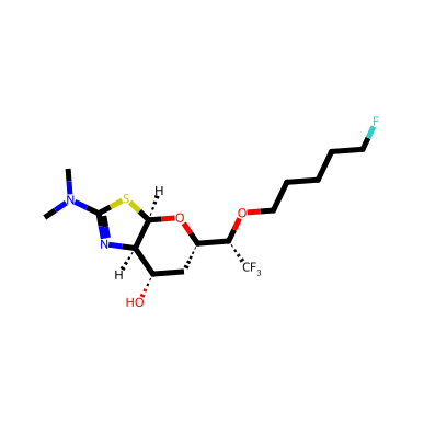 CN(C)C1=N[C@H]2[C@H](O[C@H]([C@H](OCCCCCF)C(F)(F)F)C[C@@H]2O)S1